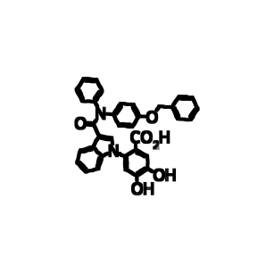 O=C(O)c1cc(O)c(O)cc1-n1cc(C(=O)N(c2ccccc2)c2ccc(OCc3ccccc3)cc2)c2ccccc21